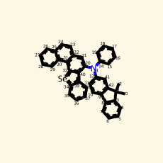 CC1(C)c2ccccc2-c2ccc(N(c3ccccc3)c3cc4ccc5ccccc5c4c4[se]c5ccccc5c34)cc21